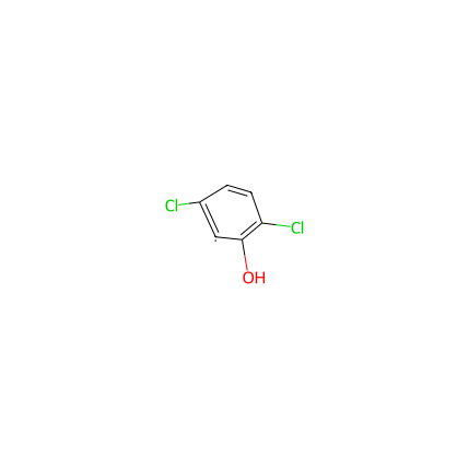 Oc1[c]c(Cl)ccc1Cl